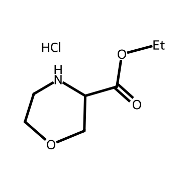 CCOC(=O)C1COCCN1.Cl